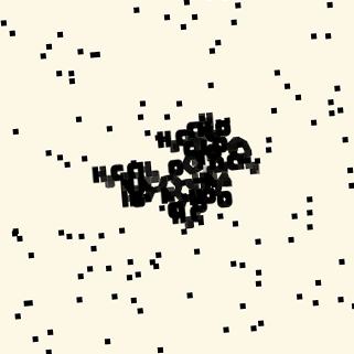 C=CC1C[C@]1(NC(=O)[C@@H]1C[C@@H](Oc2cc(-c3csc(NC(C)C)n3)nc3c(Cl)c(OC)ccc23)CN1C(=O)[C@@H](NC(=O)OC1CC2CCC1C2)C(C)(C)C)C(=O)O